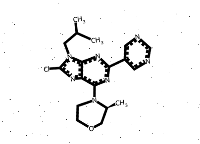 CC(C)Cn1c(Cl)nc2c(N3CCOC[C@@H]3C)nc(-c3cn[c]nc3)nc21